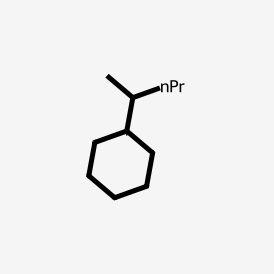 CCCC(C)[C]1CCCCC1